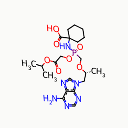 CC(C)OC(=O)COP(=O)(CO[C@H](C)Cn1cnc2c(N)ncnc21)NC1(C(=O)O)CCCCC1